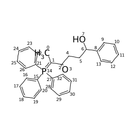 CC(C(=O)CCC(O)c1ccccc1)=P(c1ccccc1)(c1ccccc1)c1ccccc1